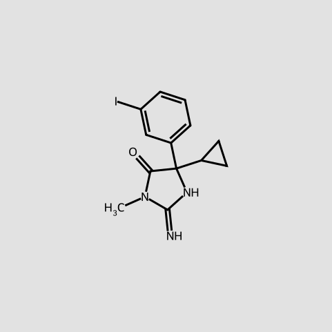 CN1C(=N)NC(c2cccc(I)c2)(C2CC2)C1=O